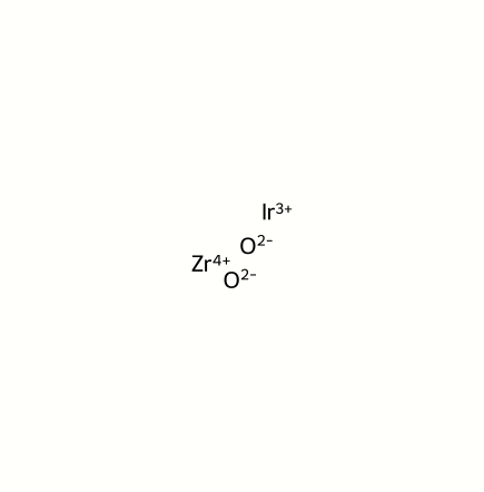 [Ir+3].[O-2].[O-2].[Zr+4]